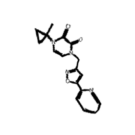 CC1(n2ccn(Cc3cc(-c4ccccn4)on3)c(=O)c2=O)CC1